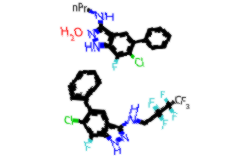 CCCNc1n[nH]c2c(F)c(Cl)c(-c3ccccc3)cc12.Fc1c(Cl)c(-c2ccccc2)cc2c(NCC(F)(F)C(F)(F)C(F)(F)F)n[nH]c12.O